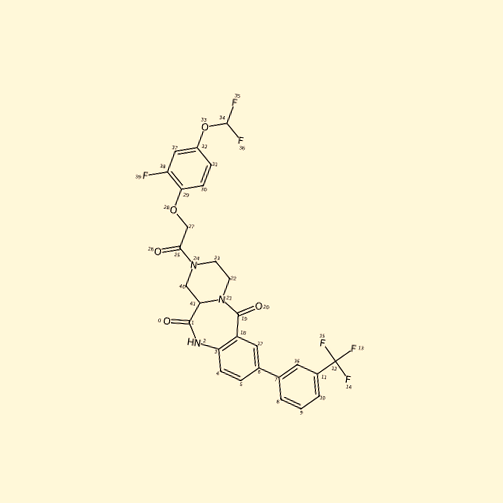 O=C1Nc2ccc(-c3cccc(C(F)(F)F)c3)cc2C(=O)N2CCN(C(=O)COc3ccc(OC(F)F)cc3F)CC12